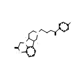 O=C1CN2c3c(cccc3[C@@H]3CN(CCCC(=O)c4ccc(F)cc4)CC[C@@H]32)N1